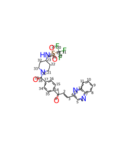 O=C(C=Cc1cnc2ccccc2n1)c1ccc(C(=O)N2CCC(NS(=O)(=O)C(F)(F)F)CC2)cc1